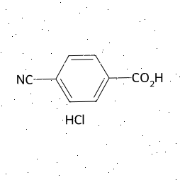 Cl.N#Cc1ccc(C(=O)O)cc1